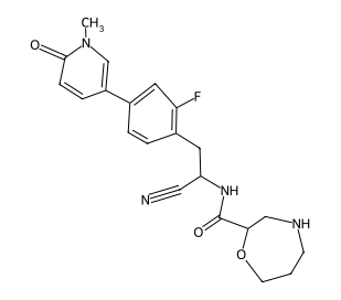 Cn1cc(-c2ccc(CC(C#N)NC(=O)C3CNCCCO3)c(F)c2)ccc1=O